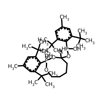 Cc1cc(C(C)(C)C)c([PH]2(O)OCCCCC3(O2)O[PH](O)(c2c(C(C)(C)C)cc(C)cc2C(C)(C)C)O3)c(C(C)(C)C)c1